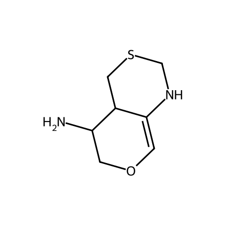 NC1COC=C2NCSCC21